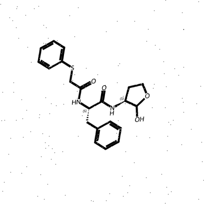 O=C(CSc1ccccc1)N[C@@H](Cc1ccccc1)C(=O)N[C@H]1CCOC1O